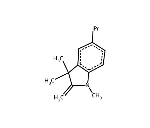 C=C1N(C)c2ccc(C(C)C)cc2C1(C)C